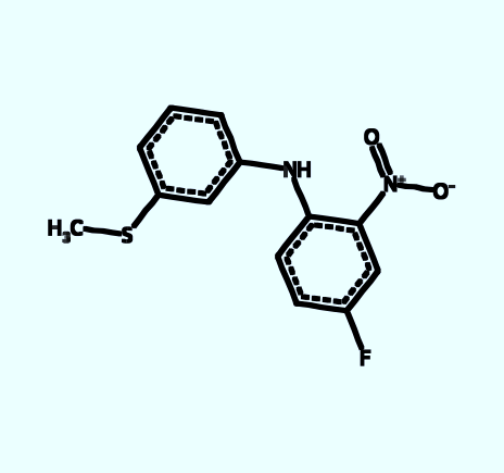 CSc1cccc(Nc2ccc(F)cc2[N+](=O)[O-])c1